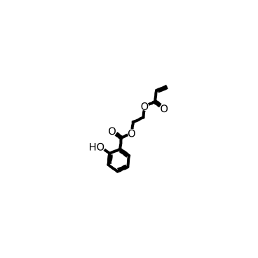 C=CC(=O)OCCOC(=O)c1ccccc1O